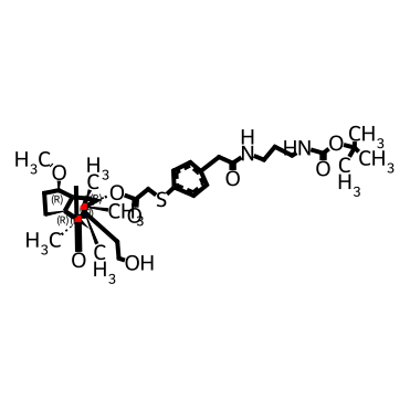 CO[C@@H]1CC[C@]23CC[C@@H](C)[C@](C)(C12)[C@H](OC(=O)CSc1ccc(CC(=O)NCCCNC(=O)OC(C)(C)C)cc1)C[C@](C)(CCO)C(=O)[C@@H]3C